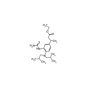 CCOC(=O)CC(C)c1ccc(N(CC(C)C)CC(C)C)c(NC(N)=S)c1